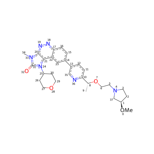 CO[C@@H]1CCN(CCO[C@H](C)c2ccc(-c3ccc4nnc5c(c4c3)n(C3CCOCC3)c(=O)n5C)cn2)C1